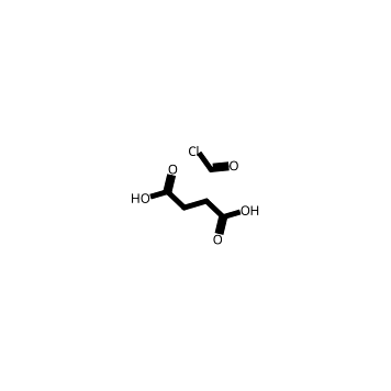 O=C(O)CCC(=O)O.O=CCl